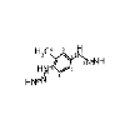 Cc1cc(NN=N)ccc1NN=N